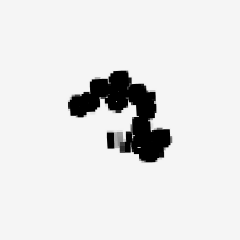 CC1(C)c2ccc(-c3ccc4oc5ccc(-c6c7ccccc7c(-c7cccc(-c8ccc9ccccc9c8)c7)c7ccccc67)cc5c4c3)cc2-c2c1c1ccccc1c1ccccc21